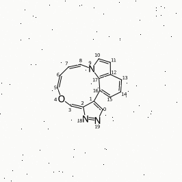 C1=c2c(coccccn3ccc4cccc2c43)N=N1